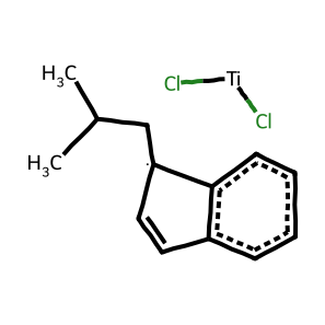 CC(C)C[C]1C=Cc2ccccc21.[Cl][Ti][Cl]